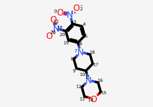 O=[N+]([O-])c1ccc(N2CCC(N3CCOCC3)CC2)cc1[N+](=O)[O-]